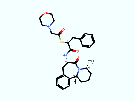 O=C(CN1CCOCC1)S[C@@H](Cc1ccccc1)C(=O)N[C@H]1Cc2ccccc2[C@H]2CCC[C@@H](C(=O)O)N2C1=O